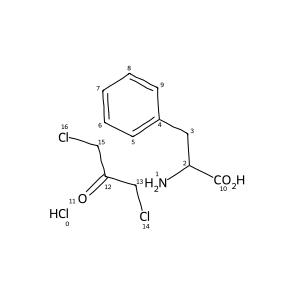 Cl.NC(Cc1ccccc1)C(=O)O.O=C(CCl)CCl